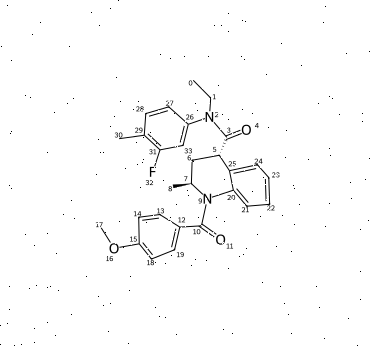 CCN(C(=O)[C@H]1C[C@H](C)N(C(=O)c2ccc(OC)cc2)c2ccccc21)c1ccc(C)c(F)c1